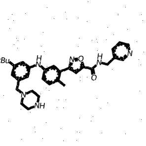 Cc1ccc(Nc2cc(CN3CCNCC3)cc(C(C)(C)C)c2)cc1-c1cc(C(=O)NCc2cccnc2)on1